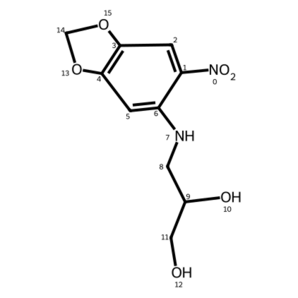 O=[N+]([O-])c1cc2c(cc1NCC(O)CO)OCO2